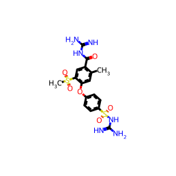 Cc1cc(Oc2ccc(S(=O)(=O)NC(=N)N)cc2)c(S(C)(=O)=O)cc1C(=O)NC(=N)N